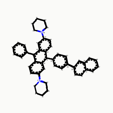 c1ccc(-c2c3ccc(N4CCCCC4)cc3c(-c3ccc(-c4ccc5ccccc5c4)cc3)c3ccc(N4CCCCC4)cc23)cc1